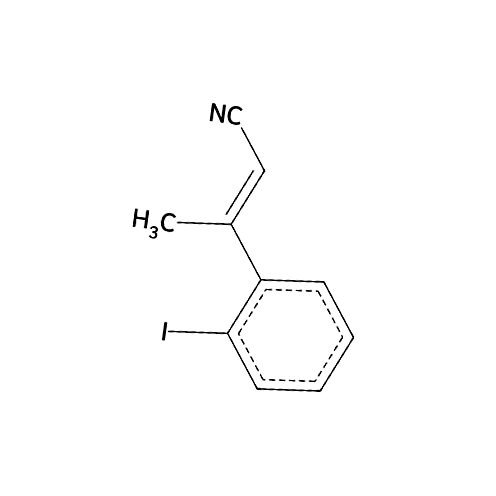 C/C(=C\C#N)c1ccccc1I